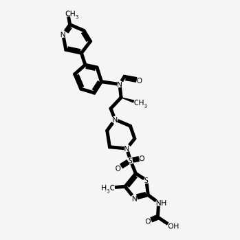 Cc1ccc(-c2cccc(N(C=O)[C@@H](C)CN3CCN(S(=O)(=O)c4sc(NC(=O)O)nc4C)CC3)c2)cn1